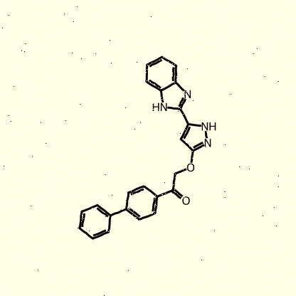 O=C(COc1cc(-c2nc3ccccc3[nH]2)[nH]n1)c1ccc(-c2ccccc2)cc1